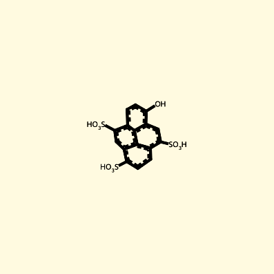 O=S(=O)(O)c1cc2c(S(=O)(=O)O)ccc3c(S(=O)(=O)O)cc4c(O)ccc1c4c32